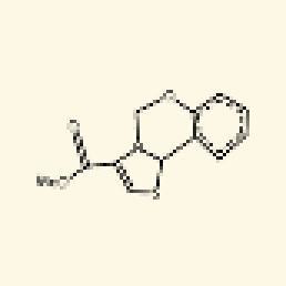 COC(=O)C1=CSC2c3ccccc3OCN12